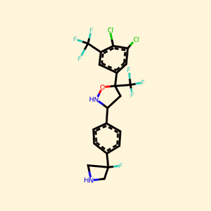 FC(F)(F)c1cc(C2(C(F)(F)F)CC(c3ccc(C4(F)CNC4)cc3)NO2)cc(Cl)c1Cl